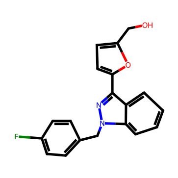 OCc1ccc(-c2nn(Cc3ccc(F)cc3)c3ccccc23)o1